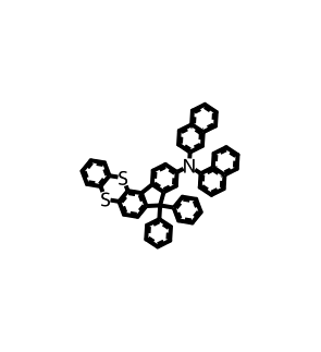 c1ccc(C2(c3ccccc3)c3cc(N(c4ccc5ccccc5c4)c4cccc5ccccc45)ccc3-c3c2ccc2c3Sc3ccccc3S2)cc1